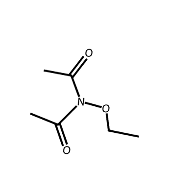 CCON(C(C)=O)C(C)=O